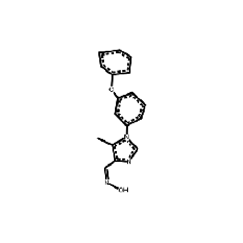 Cc1c(/C=N\O)ncn1-c1cccc(Oc2ccccc2)c1